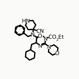 CCOC(=O)N(C)C(=NC(CC1CCCCC1)C(=O)N(Cc1ccccc1)C1(C#N)CCNCC1)N1CCOCC1